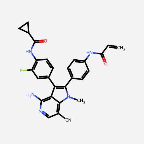 C=CC(=O)Nc1ccc(-c2c(-c3ccc(NC(=O)C4CC4)c(F)c3)c3c(N)ncc(C#N)c3n2C)cc1